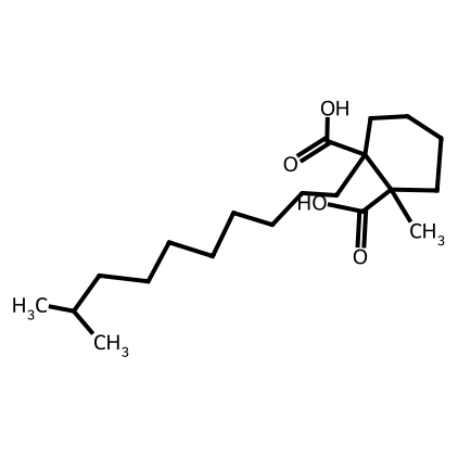 CC(C)CCCCCCCCC1(C(=O)O)CCCCC1(C)C(=O)O